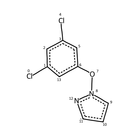 Clc1cc(Cl)cc(On2cc[c]n2)c1